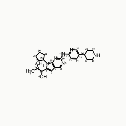 CN(C)C(O)c1cc2cnc(Nc3ccc(C4CCNCC4)cn3)nc2n1C1CCCC1